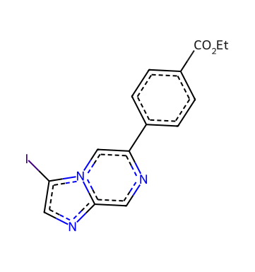 CCOC(=O)c1ccc(-c2cn3c(I)cnc3cn2)cc1